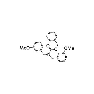 COc1cccc(CN(Cc2cccc(OC)c2)C(=O)OCc2cccnc2)c1